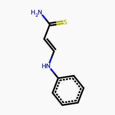 NC(=S)/C=C/Nc1ccccc1